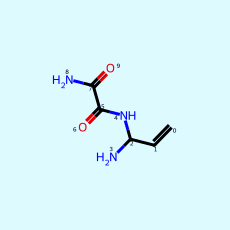 C=CC(N)NC(=O)C(N)=O